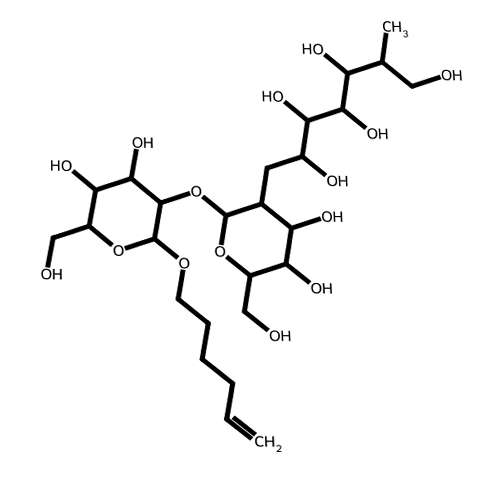 C=CCCCCOC1OC(CO)C(O)C(O)C1OC1OC(CO)C(O)C(O)C1CC(O)C(O)C(O)C(O)C(C)CO